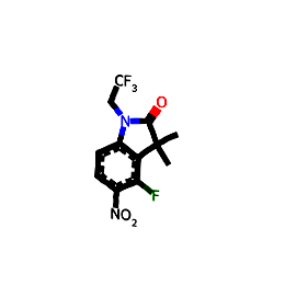 CC1(C)C(=O)N(CC(F)(F)F)c2ccc([N+](=O)[O-])c(F)c21